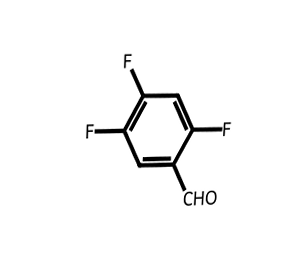 O=Cc1cc(F)c(F)cc1F